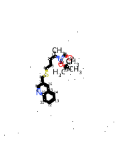 C[C@@H](CCCSCc1cnc2ccccc2c1)N(C=O)OC(C)(C)C